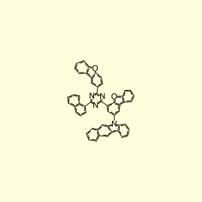 c1ccc2cc3c(cc2c1)c1ccccc1n3-c1cc(-c2nc(-c3ccc4oc5ccccc5c4c3)nc(-c3cccc4ccccc34)n2)c2oc3ccccc3c2c1